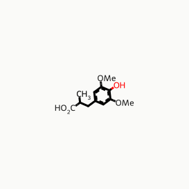 COc1cc(CC(C)C(=O)O)cc(OC)c1O